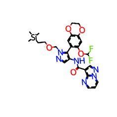 C[Si](C)(C)CCOCn1ncc(NC(=O)c2cnn3cccnc23)c1-c1cc2c(cc1OC(F)F)OCCO2